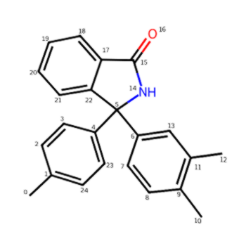 Cc1ccc(C2(c3ccc(C)c(C)c3)NC(=O)c3ccccc32)cc1